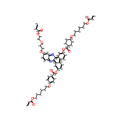 C=CC(=O)OCCCCCCOc1ccc(C(=O)Oc2ccc3c4ccc(OC(=O)C5CCC(OCCCCCCOC(=O)C=C)CC5)cc4c4nc5cc(OCCOCCOC(=O)C=C)ccc5nc4c3c2)cc1